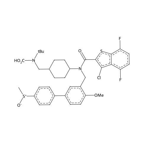 COc1ccc(-c2ccc([S+](C)[O-])cc2)cc1CN(C(=O)c1sc2c(F)ccc(F)c2c1Cl)C1CCC(CN(C(=O)O)C(C)(C)C)CC1